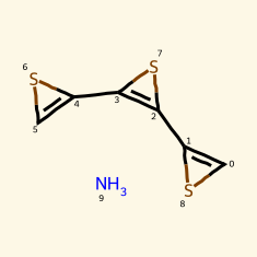 C1=C(C2=C(C3=CS3)S2)S1.N